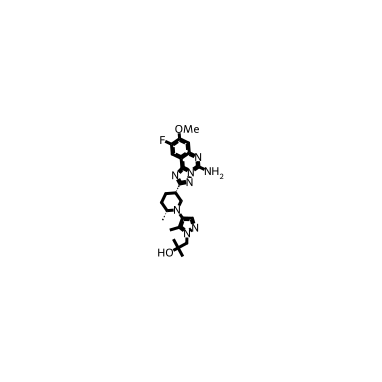 COc1cc2nc(N)n3nc([C@H]4CC[C@@H](C)N(c5cnn(CC(C)(C)O)c5C)C4)nc3c2cc1F